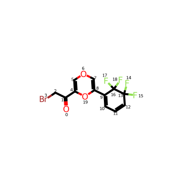 O=C(CBr)C1=COC=C(C2=CC=CC(F)(F)C2(F)F)O1